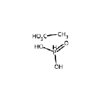 CC(=O)O.O=[PH](O)O